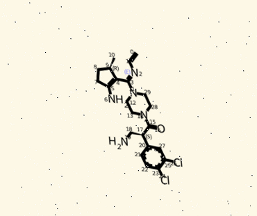 C=C/N=C(\C1=C(N)CC[C@H]1C)N1CCN(C(=O)[C@H](CN)c2ccc(Cl)c(Cl)c2)CC1